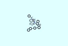 CC(c1ccccc1)C1BC(/N=C(\N)c2cc3c(oc4cccc(-c5ccc(-c6ccc7ccccc7c6)cc5)c43)c3ccccc23)C=CC=C1